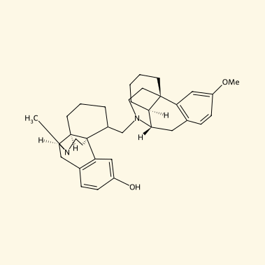 COc1ccc2c(c1)[C@]13CCCC[C@@H]1[C@H](C2)N(CC1CCC[C@@H]2[C@@H]4Cc5ccc(O)cc5[C@]12CCN4C)CC3